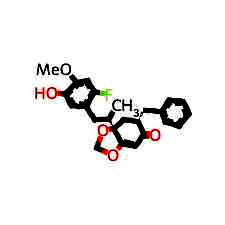 COc1cc(F)c(CC(C)[C@]23C[C@H](Cc4ccccc4)C(=O)C=C2OCO3)cc1O